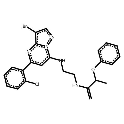 C=C(NCCNc1cc(-c2ccccc2Cl)nc2c(Br)cnn12)C(C)Oc1ccccc1